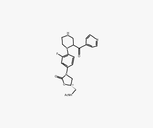 CC(=O)NC[C@H]1CN(c2ccc(N3CCNCC3C(=O)c3ccncc3)c(F)c2)C(=O)O1